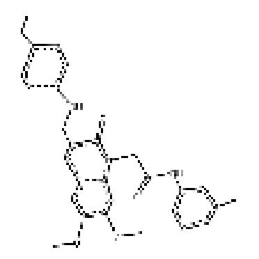 CCc1ccc(NCc2cc3cc(OC)c(OC)cc3n(CC(=O)Nc3cccc(C)c3)c2=O)cc1